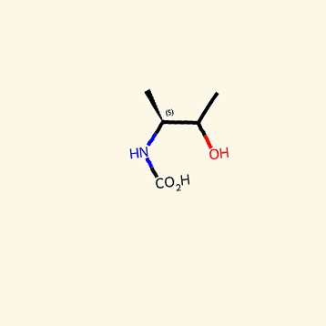 CC(O)[C@H](C)NC(=O)O